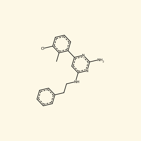 Cc1c(Cl)cccc1-c1cc(NCCc2ccccc2)nc(N)n1